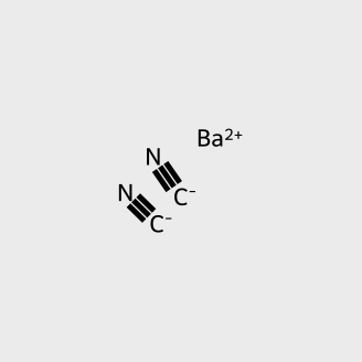 [Ba+2].[C-]#N.[C-]#N